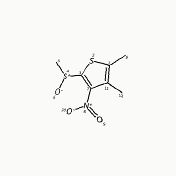 Cc1sc([S+](C)[O-])c([N+](=O)[O-])c1C